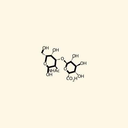 CC(=O)N[C@H]1C(O)O[C@H](CO)[C@H](O)[C@@H]1O[C@@H]1O[C@@H](C(=O)O)[C@@H](O)[C@H](O)[C@H]1O